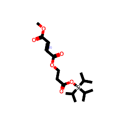 COC(=O)/C=C/C(=O)OCCC(=O)O[Si](C(C)C)(C(C)C)C(C)C